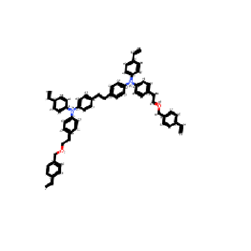 C=Cc1ccc(COCCc2ccc(N(c3ccc(C=C)cc3)c3ccc(CCc4ccc(N(c5ccc(C=C)cc5)c5ccc(CCOCc6ccc(C=C)cc6)cc5)cc4)cc3)cc2)cc1